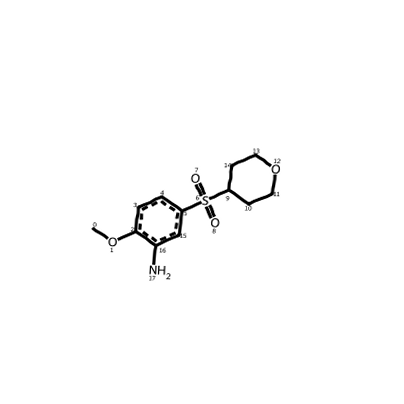 COc1ccc(S(=O)(=O)C2CCOCC2)cc1N